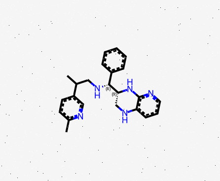 Cc1ccc(C(C)CN[C@H](c2ccccc2)[C@H]2CNc3cccnc3N2)cn1